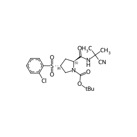 CC(C)(C#N)NC(=O)[C@@H]1C[C@@H](S(=O)(=O)c2ccccc2Cl)CN1C(=O)OC(C)(C)C